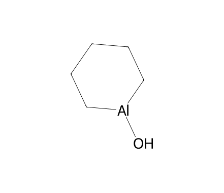 [OH][Al]1[CH2]CCC[CH2]1